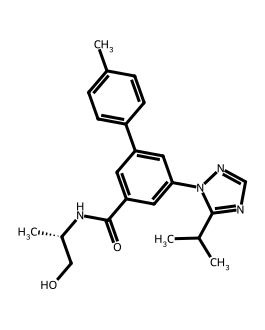 Cc1ccc(-c2cc(C(=O)N[C@@H](C)CO)cc(-n3ncnc3C(C)C)c2)cc1